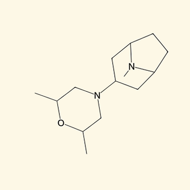 CC1CN(C2CC3CCC(C2)N3C)CC(C)O1